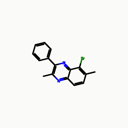 Cc1ccc2nc(C)c(-c3ccccc3)nc2c1Br